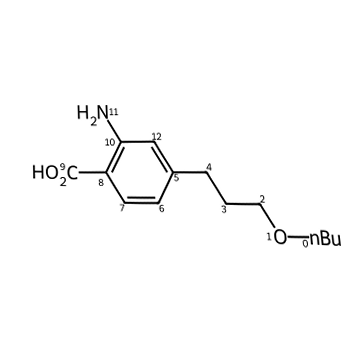 CCCCOCCCc1ccc(C(=O)O)c(N)c1